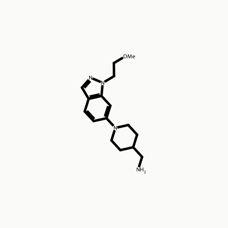 COCCn1ncc2ccc(N3CCC(CN)CC3)cc21